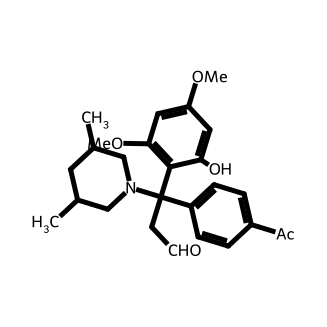 COc1cc(O)c(C(CC=O)(c2ccc(C(C)=O)cc2)N2CC(C)CC(C)C2)c(OC)c1